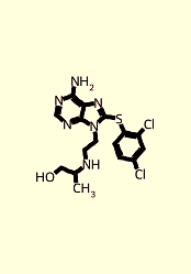 CC(CO)NCCn1c(Sc2ccc(Cl)cc2Cl)nc2c(N)ncnc21